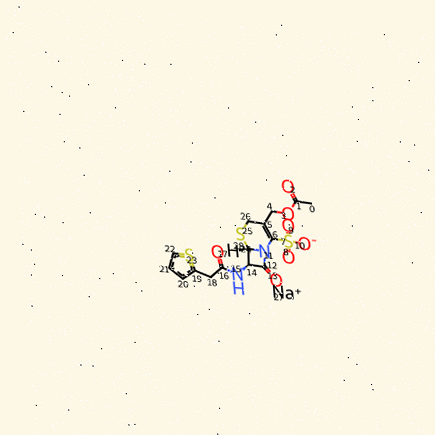 CC(=O)OCC1=C(S(=O)(=O)[O-])N2C(=O)[C@@H](NC(=O)Cc3cccs3)[C@@H]2SC1.[Na+]